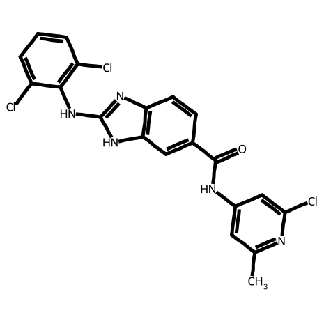 Cc1cc(NC(=O)c2ccc3nc(Nc4c(Cl)cccc4Cl)[nH]c3c2)cc(Cl)n1